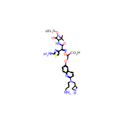 CC1(C)C(NC(=O)C(=NOC(COc2ccc3nc(N(CCCN)CC4CNC4)ccc3c2)C(=O)O)c2csc(N)n2)C(=O)N1OS(=O)(=O)O